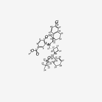 COC(=O)c1ccc2c(c1)N(C[C@@H]1CC[C@H]1[C@H](O[Si](C)(C)C(C)(C)C)[C@H]1C=CCCC1)C[C@@]1(CCCc3cc(Cl)ccc31)CO2